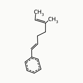 CC=C(C)CCC=Cc1ccccc1